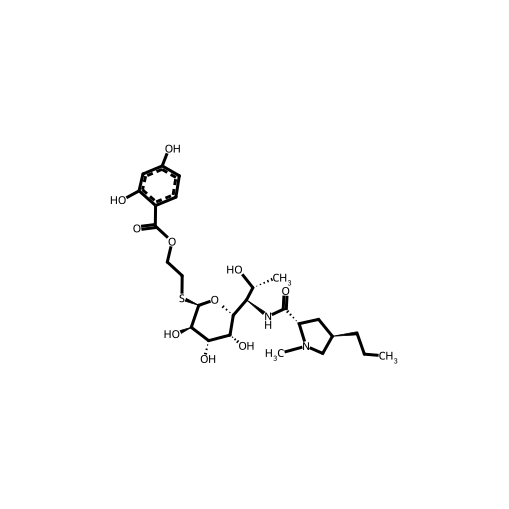 CCC[C@@H]1C[C@@H](C(=O)N[C@@H]([C@H]2O[C@H](SCCOC(=O)c3ccc(O)cc3O)[C@H](O)[C@@H](O)[C@H]2O)[C@@H](C)O)N(C)C1